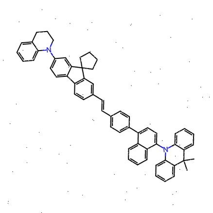 CC1(C)c2ccccc2N(c2ccc(-c3ccc(/C=C/c4ccc5c(c4)C4(CCCC4)c4cc(N6CCCc7ccccc76)ccc4-5)cc3)c3ccccc23)c2ccccc21